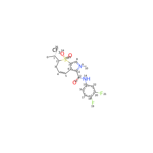 C[C@@H](C1CC=Cc2c(cn(C)c2C(=O)Nc2ccc(F)c(F)c2)S1(=O)=O)C(F)(F)F